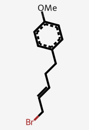 COc1ccc(CC/C=C/CBr)cc1